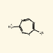 CC1=CC=CC(C)=NC1